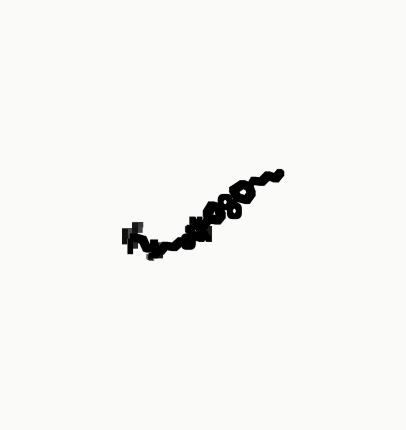 CCCCC[C@H]1CC[C@H](C(=O)Oc2ccc(-c3ncc(OCCCC[Si](C)(C)CCC(F)(F)F)cn3)cc2)CC1